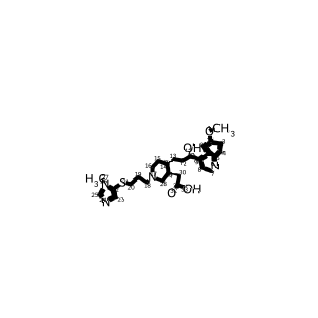 COc1ccc2nccc([C@@H](O)CC[C@@H]3CCN(CCCSc4cncn4C)C[C@@H]3CC(=O)O)c2c1